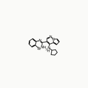 N/C(=N\c1ccccc1Br)c1cnn2cccc2c1NC1CCCC1